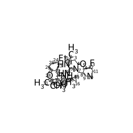 CC[C@@]1(C)CC(=O)N(C(c2cncc(F)c2)[C@@H]2C[C@H]2C(=O)NC2c3ccccc3OC(C)(C)C2(C)O)C(=N)N1